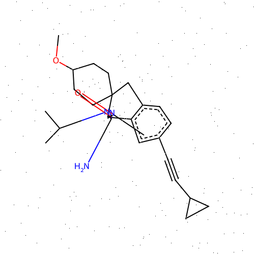 COC1CCC2(CC1)Cc1ccc(C#CC3CC3)cc1C21N=C(N)N(C(C)C)C1=O